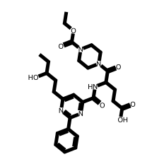 CCOC(=O)N1CCN(C(=O)C(CCC(=O)O)NC(=O)c2cc(CCC(O)CC)nc(-c3ccccc3)n2)CC1